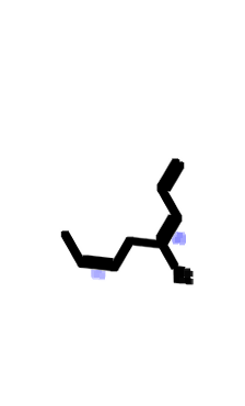 C=C/C=C(/CC)C/C=C\C